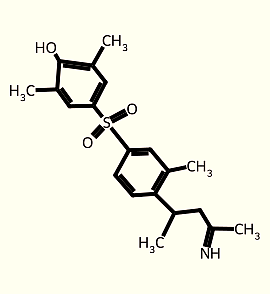 CC(=N)CC(C)c1ccc(S(=O)(=O)c2cc(C)c(O)c(C)c2)cc1C